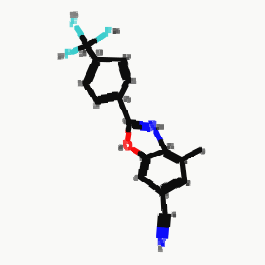 Cc1cc(C#N)cc2oc(-c3ccc(C(F)(F)F)cc3)nc12